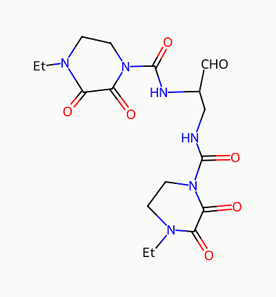 CCN1CCN(C(=O)NCC(C=O)NC(=O)N2CCN(CC)C(=O)C2=O)C(=O)C1=O